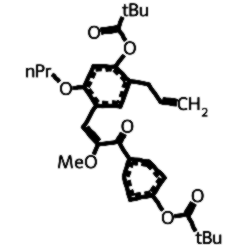 C=CCc1cc(C=C(OC)C(=O)c2ccc(OC(=O)C(C)(C)C)cc2)c(OCCC)cc1OC(=O)C(C)(C)C